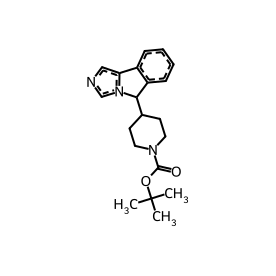 CC(C)(C)OC(=O)N1CCC(C2c3ccccc3-c3cncn32)CC1